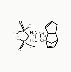 C1=CC2C3C=CC(C3)C2C1.CN.CN.O=P(O)(O)CP(=O)(O)O